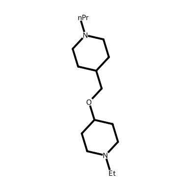 CCCN1CCC(COC2CCN(CC)CC2)CC1